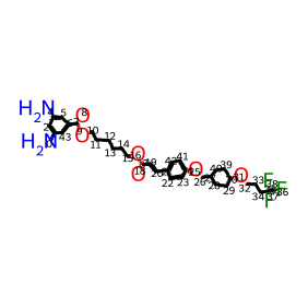 Nc1cc(N)cc(C(=O)OCCCCCCOC(=O)C=Cc2ccc(OCC3CCC(OCCCC(F)(F)F)CC3)cc2)c1